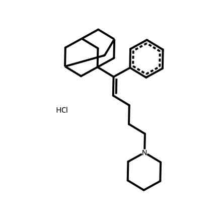 C(CCCN1CCCCC1)=C(c1ccccc1)C12CC3CC(CC(C3)C1)C2.Cl